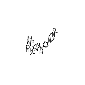 CC(=O)N1CCN(c2ccc(Nc3ncc(C(N)=O)c(NC(C)C)n3)cc2)CC1